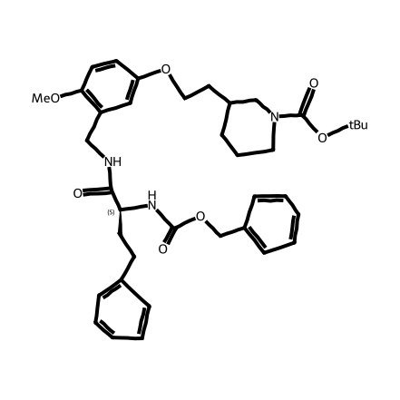 COc1ccc(OCCC2CCCN(C(=O)OC(C)(C)C)C2)cc1CNC(=O)[C@H](CCc1ccccc1)NC(=O)OCc1ccccc1